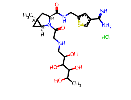 CC(O)C(O)C(O)C(O)CNCC(=O)N1[C@H]2C[C@@]2(C)C[C@H]1C(=O)NCc1cc(C(=N)N)cs1.Cl